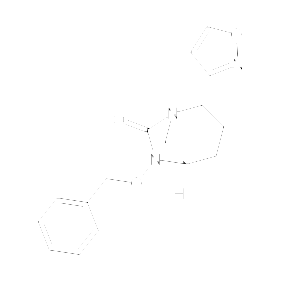 O=C1N2C[C@@H](CC[C@H]2c2ccon2)N1OCc1ccccc1